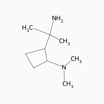 CN(C)C1CCC1C(C)(C)N